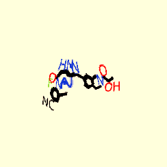 Cc1cc(C#N)cc(F)c1-n1nc2c(-c3ccc4c(c3)CN(C(=O)C(C)O)CC4)n[nH]c2cc1=O